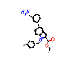 CCOC(=O)c1cc2cc(-c3cccc(CN)c3)ccc2n1Cc1ccc(C)cc1